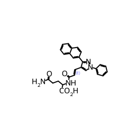 NC(=O)CCC(NC(=O)/C=C/c1cn(-c2ccccc2)nc1-c1ccc2ccccc2c1)C(=O)O